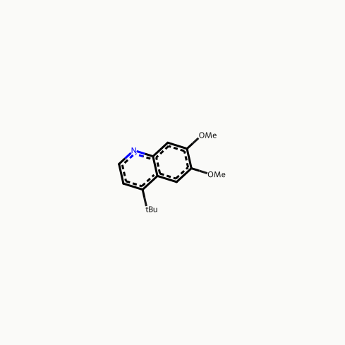 COc1cc2nccc(C(C)(C)C)c2cc1OC